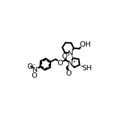 O=C[N+]1(C(=O)OCc2ccc([N+](=O)[O-])cc2)C[C@@H](S)C[C@H]1N1CCCCC1CO